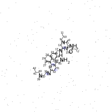 C=C(CNC(=O)CC)N(CCC)C/C(=N/C)NCc1ccc2c(c1)CCC(C)=C2/C=C(/C=C\C(C)/N=C/CN(C)CCC)C(C)CN